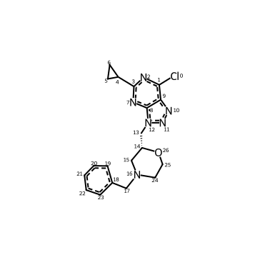 Clc1nc(C2CC2)nc2c1nnn2C[C@H]1CN(Cc2ccccc2)CCO1